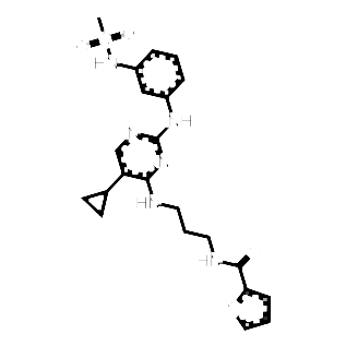 CS(=O)(=O)Nc1cccc(Nc2ncc(C3CC3)c(NCCCNC(=O)c3cccs3)n2)c1